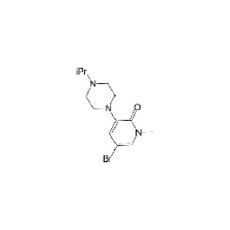 CC(C)N1CCN(c2cc(Br)cn(C)c2=O)CC1